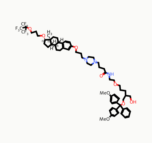 COc1ccc(C(OCC(CO)CCCOCCNC(=O)CCCN2CCN(CCCOc3ccc4c(c3)CC[C@@H]3[C@@H]4CC[C@]4(C)[C@@H](OCCCOC(C(F)(F)F)(C(F)(F)F)C(F)(F)F)CC[C@@H]34)CC2)(c2ccccc2)c2ccc(OC)cc2)cc1